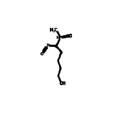 C[PH](=O)C(CCCCO)P=O